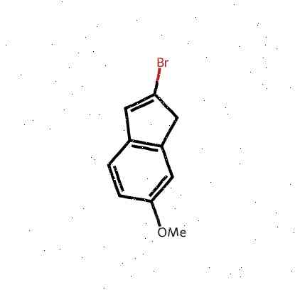 COc1ccc2c(c1)CC(Br)=C2